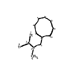 CCN(CC)N(C)CC1CCCCCCC1